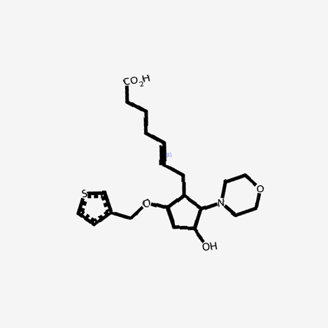 O=C(O)CCC/C=C/CC1C(OCc2ccsc2)CC(O)C1N1CCOCC1